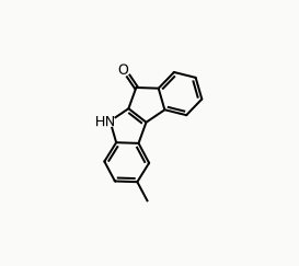 Cc1ccc2[nH]c3c(c2c1)-c1ccccc1C3=O